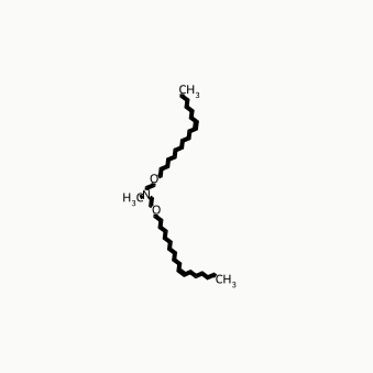 CCCCCC/C=C\CCCCCCCCCCOCCN(C)CCOCCCCCCCCCC/C=C\CCCCCC